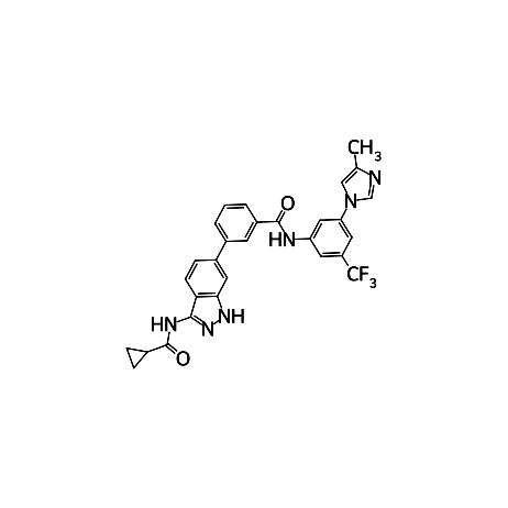 Cc1cn(-c2cc(NC(=O)c3cccc(-c4ccc5c(NC(=O)C6CC6)n[nH]c5c4)c3)cc(C(F)(F)F)c2)cn1